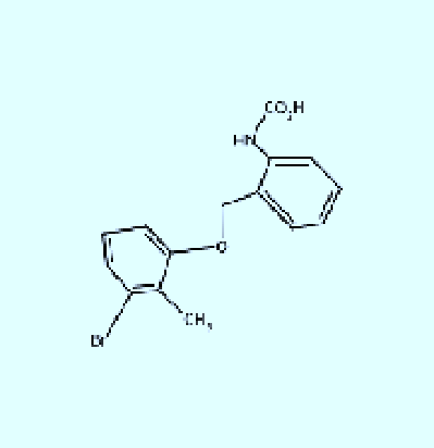 Cc1c(Br)cccc1OCc1ccccc1NC(=O)O